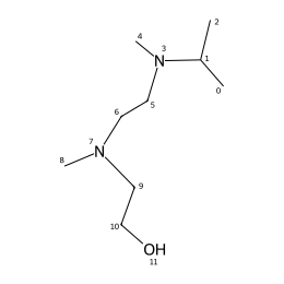 CC(C)N(C)CCN(C)CCO